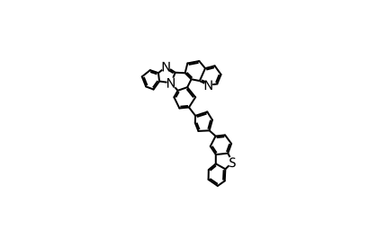 c1cnc2c(c1)ccc1c2c2cc(-c3ccc(-c4ccc5sc6ccccc6c5c4)cc3)ccc2n2c3ccccc3nc12